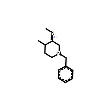 C/N=C1/CN(Cc2ccccc2)CCC1C